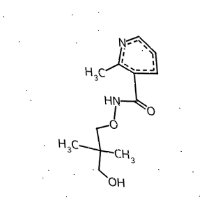 Cc1ncccc1C(=O)NOCC(C)(C)CO